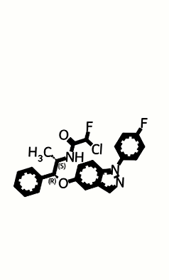 C[C@H](NC(=O)C(F)Cl)[C@H](Oc1ccc2c(cnn2-c2ccc(F)cc2)c1)c1ccccc1